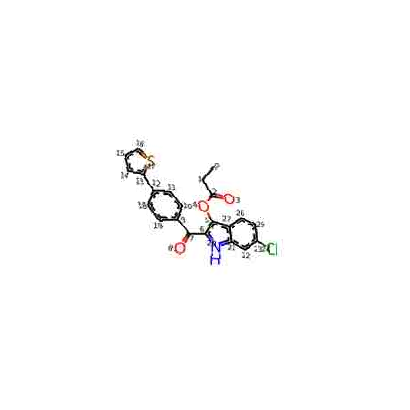 CCC(=O)Oc1c(C(=O)c2ccc(-c3cccs3)cc2)[nH]c2cc(Cl)ccc12